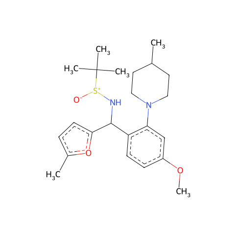 COc1ccc(C(N[S+]([O-])C(C)(C)C)c2ccc(C)o2)c(N2CCC(C)CC2)c1